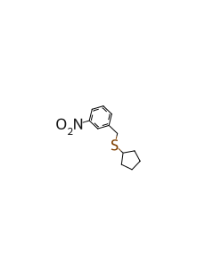 O=[N+]([O-])c1cccc(CSC2CCCC2)c1